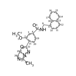 COc1cc(C(=O)NCc2cccc3ccccc23)ccc1-c1nn2c(C)ncc2o1